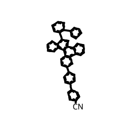 N#Cc1ccc(-c2ccc(-c3ccc4c(c3)c3ccccc3c3cc(-c5ccccc5-c5ccccc5)c5ccccc5c43)cc2)cc1